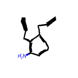 C#CCc1cccc(N)c1CC#C